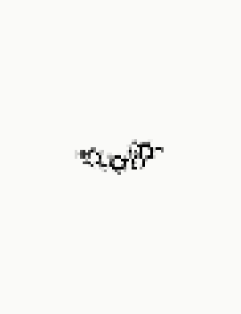 Cc1cc(C)c(S(=O)(=O)c2ccc(OC3CCNCC3)cc2)c(C)c1